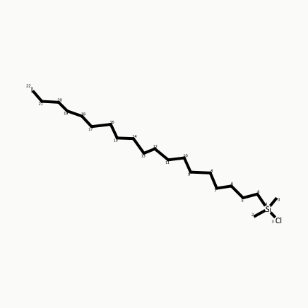 C[Si](C)(Cl)CCCCCCCCCCCCCCCCCCI